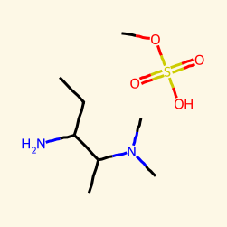 CCC(N)C(C)N(C)C.COS(=O)(=O)O